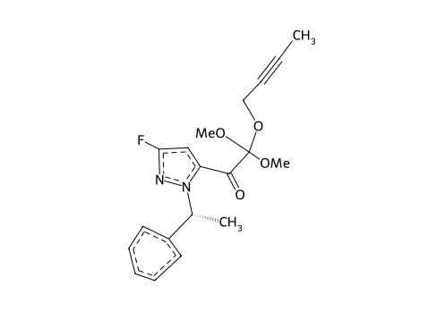 CC#CCOC(OC)(OC)C(=O)c1cc(F)nn1[C@H](C)c1ccccc1